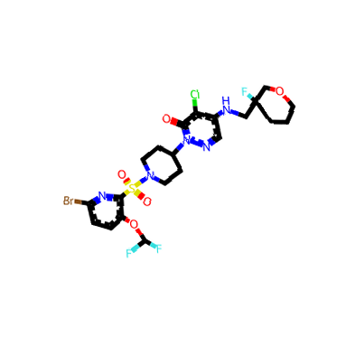 O=c1c(Cl)c(NCC2(F)CCCOC2)cnn1C1CCN(S(=O)(=O)c2nc(Br)ccc2OC(F)F)CC1